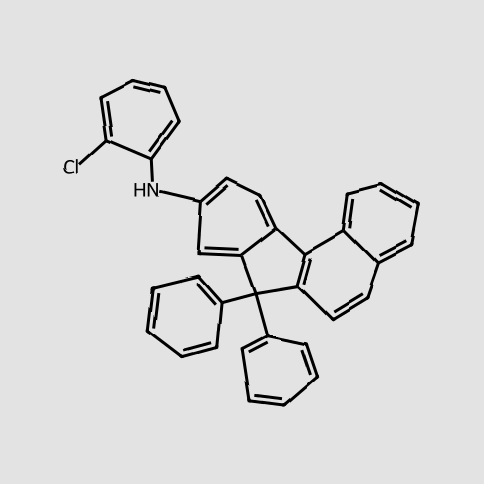 Clc1ccccc1Nc1ccc2c(c1)C(c1ccccc1)(c1ccccc1)c1ccc3ccccc3c1-2